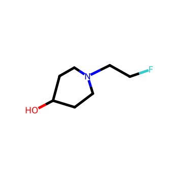 OC1CCN(CCF)CC1